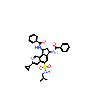 CC(C)CNS(=O)(=O)c1cc2c(c3cnc(C4CC4)cc13)C(NC(=O)c1ccccc1)CC2NC(=O)c1ccccc1